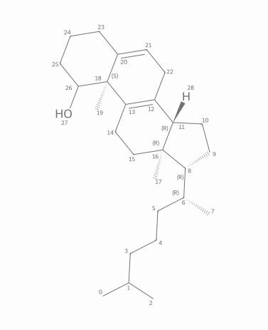 CC(C)CCC[C@@H](C)[C@H]1CC[C@H]2C3=C(CC[C@]12C)[C@]1(C)C(=CC3)CCCC1O